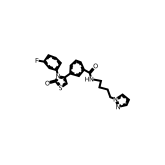 O=C(NCCCCn1cccn1)c1cccc(-c2csc(=O)n2-c2cccc(F)c2)c1